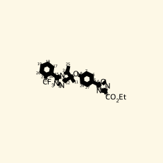 CCOC(=O)c1noc(-c2ccc(OC3(C)c4nnc(-c5ccccc5C(F)(F)F)n4C3C)cc2)n1